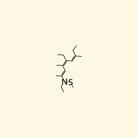 CC\C(C)=C/C(CC)=C(C)\C=C(/C)N(CC)SC